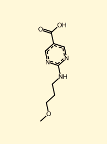 COCCCNc1ncc(C(=O)O)cn1